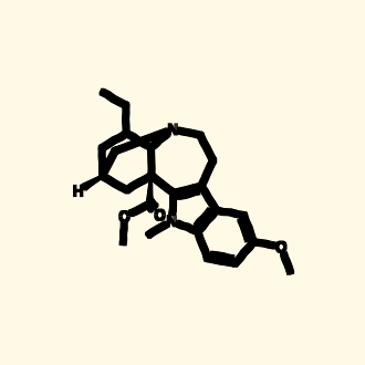 CCC1C[C@@H]2CN3CCc4c(n(C)c5ccc(OC)cc45)[C@](C(=O)OC)(C2)C13